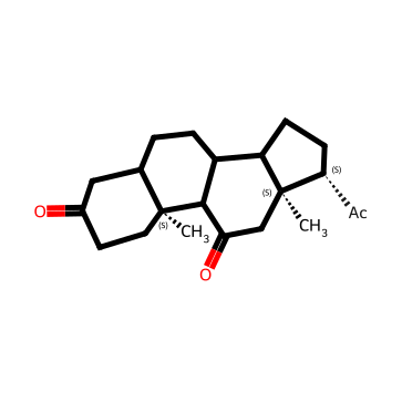 CC(=O)[C@H]1CCC2C3CCC4CC(=O)CC[C@]4(C)C3C(=O)C[C@@]21C